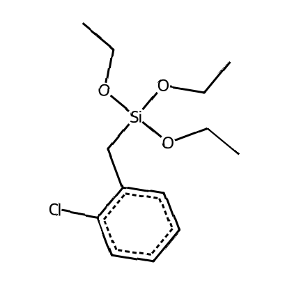 CCO[Si](Cc1ccccc1Cl)(OCC)OCC